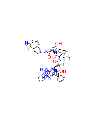 Cc1ncsc1-c1ccc(CNC(=O)[C@@H]2C[C@@H](O)CN2C(=O)[C@@H](NC(=O)[C@H]2CC3CCC2C[C@@H]3c2cnc(N3C4CCC3CN(c3cc(-c5ccccc5O)nnc3N)C4)nc2)C(C)(C)C)cc1